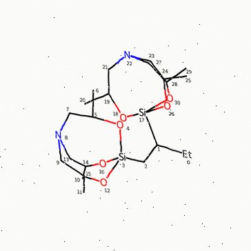 CCC(C[Si]12OC(C)CN(CC(C)O1)CC(C)O2)[Si]12OC(C)CN(CC(C)O1)CC(C)O2